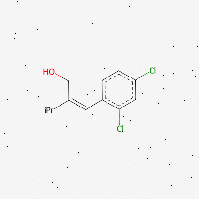 CC(C)C(=Cc1ccc(Cl)cc1Cl)CO